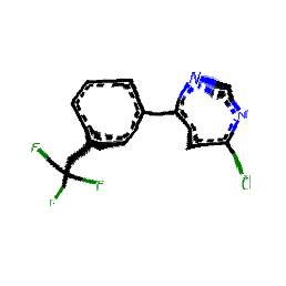 FC(F)(F)c1cccc(-c2cc(Cl)ncn2)c1